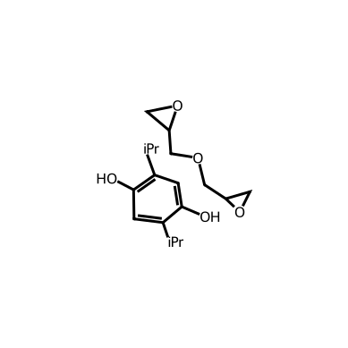 C(OCC1CO1)C1CO1.CC(C)c1cc(O)c(C(C)C)cc1O